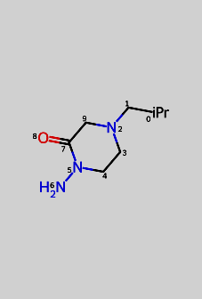 CC(C)CN1CCN(N)C(=O)C1